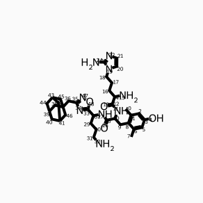 Cc1cc(O)cc(C)c1CC(NC(=O)C(N)CCCn1ccnc1N)C(=O)NC(CCCN)c1nc(CC23CC4CC(CC(C4)C2)C3)no1